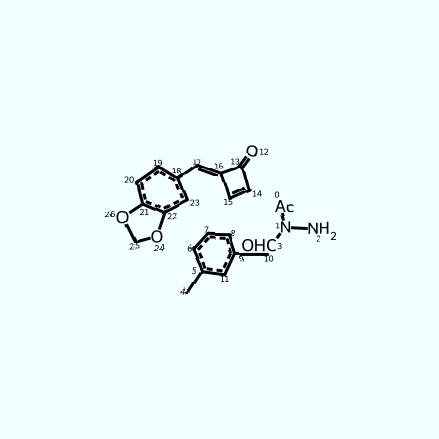 CC(=O)N(N)C=O.Cc1cccc(C)c1.O=C1C=CC1=Cc1ccc2c(c1)OCO2